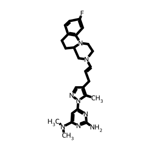 Cc1c(CC=CN2CCN3c4cc(F)ccc4CCC3C2)cnn1-c1cc(N(C)C)nc(N)n1